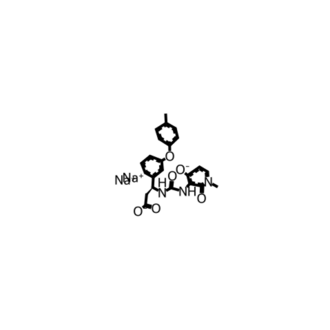 Cc1ccc(Oc2cccc([C@H](CC(=O)[O-])NC(=O)Nc3c([O-])ccn(C)c3=O)c2)cc1.[Na+].[Na+]